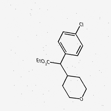 CCOC(=O)C(c1ccc(Cl)cc1)C1CCOCC1